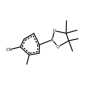 [C-]#[N+]c1ccc(B2OC(C)(C)C(C)(C)O2)cc1C